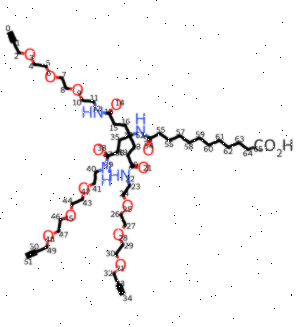 C#CCOCCOCCOCCNC(=O)CCC(CCC(=O)NCCOCCOCCOCC#C)(CCC(=O)NCCOCCOCCOCC#C)NC(=O)CCCCCCCCCCC(=O)O